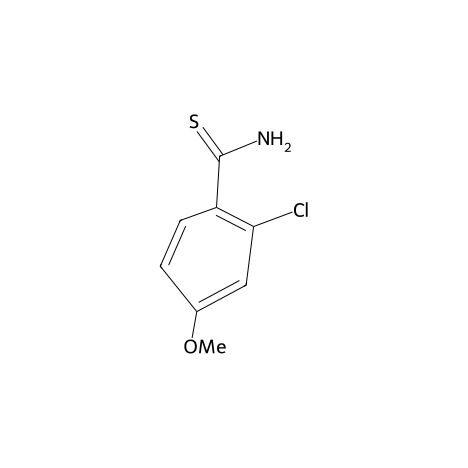 COc1ccc(C(N)=S)c(Cl)c1